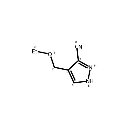 CCOCc1c[nH]nc1C#N